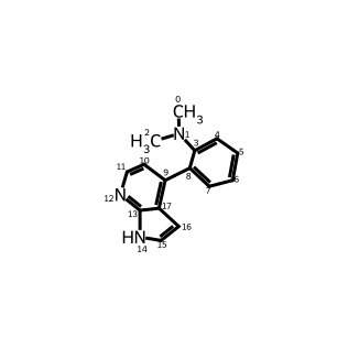 CN(C)c1ccccc1-c1ccnc2[nH]ccc12